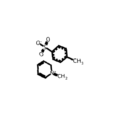 C=[N+]1C=CC=CC1.Cc1ccc(S(=O)(=O)[O-])cc1